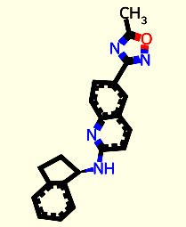 Cc1nc(-c2ccc3nc(N[C@@H]4CCc5ccccc54)ccc3c2)no1